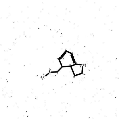 CNCC1C=CC=C2NCCC21